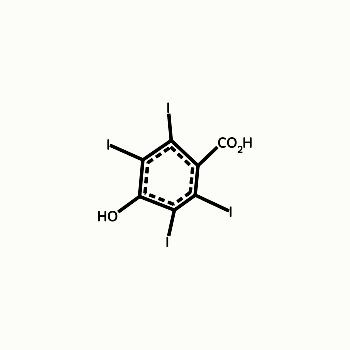 O=C(O)c1c(I)c(I)c(O)c(I)c1I